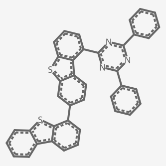 c1ccc(-c2nc(-c3ccccc3)nc(-c3cccc4sc5cc(-c6cccc7c6sc6ccccc67)ccc5c34)n2)cc1